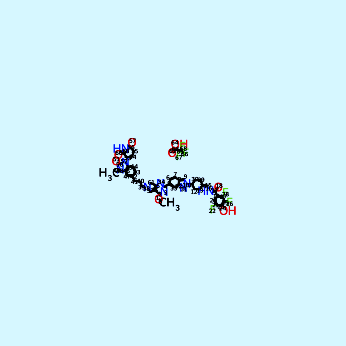 COc1nc(-c2ccc3cn(C4CCC(CNC(=O)c5cc(F)c(O)c(F)c5F)CC4)nc3c2)nc2c1CN(CCCc1ccc3c(c1)n(C)c(=O)n3[C@@H]1CCC(=O)NC1=O)C2.O=C(O)C(F)(F)F